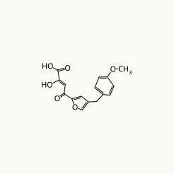 COc1ccc(Cc2coc(C(=O)C=C(O)C(=O)O)c2)cc1